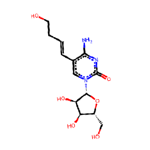 Nc1nc(=O)n([C@@H]2O[C@H](CO)[C@@H](O)[C@H]2O)cc1/C=C/CCO